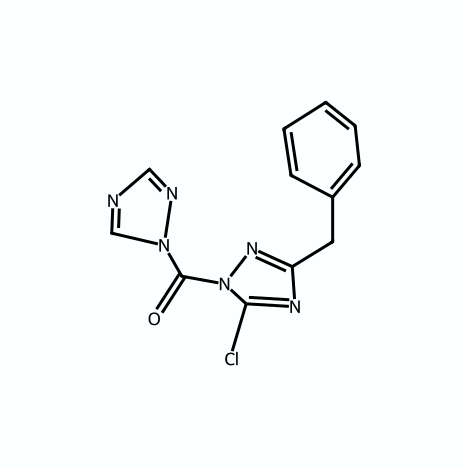 O=C(n1cncn1)n1nc(Cc2ccccc2)nc1Cl